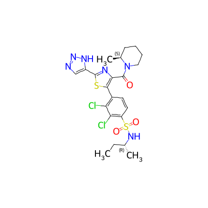 CC[C@@H](C)NS(=O)(=O)c1ccc(-c2sc(-c3cnn[nH]3)nc2C(=O)N2CCCC[C@@H]2C)c(Cl)c1Cl